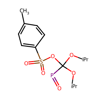 Cc1ccc(S(=O)(=O)OC(OC(C)C)(OC(C)C)P=O)cc1